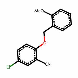 COc1ccccc1COc1ccc(Cl)cc1C#N